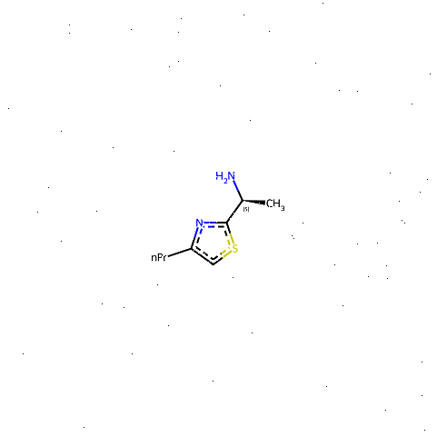 CCCc1csc([C@H](C)N)n1